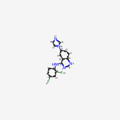 Fc1ccc(Nc2ncnc3ccc(-n4ccnc4)cc23)c(F)c1